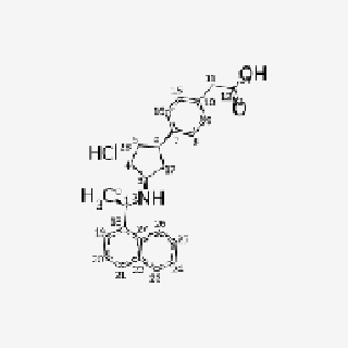 C[C@@H](N[C@H]1CC[C@@H](c2ccc(CC(=O)O)cc2)C1)c1cccc2ccccc12.Cl